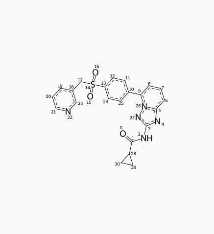 O=C(Nc1nc2cccc(-c3ccc(S(=O)(=O)Cc4cccnc4)cc3)n2n1)C1CC1